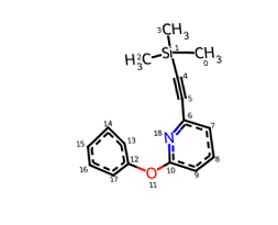 C[Si](C)(C)C#Cc1cccc(Oc2ccccc2)n1